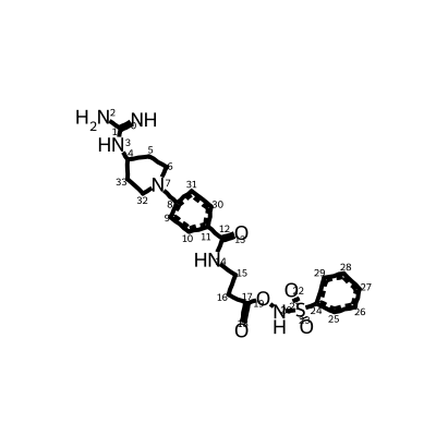 N=C(N)NC1CCN(c2ccc(C(=O)NCCC(=O)ONS(=O)(=O)c3ccccc3)cc2)CC1